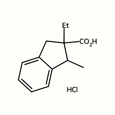 CCC1(C(=O)O)Cc2ccccc2C1C.Cl